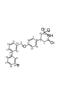 O=C1CC(c2ccc(OCc3cccc(-c4cccc(F)c4)c3)cc2)CS(=O)(=O)N1